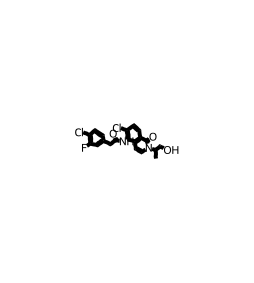 CC(CO)n1ccc2c(NC(=O)Cc3ccc(Cl)c(F)c3)c(Cl)ccc2c1=O